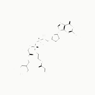 CCC(CC)COC(=O)[C@H](C)NP(=O)(OCCNC(=O)CCl)OP(=O)(O)PC[C@@H]1CC[C@H](n2cnc3c(=O)[nH]c(N)nc32)O1